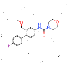 COCc1cc(NC(=O)N2CCOCC2)ccc1-c1ccc(I)cc1